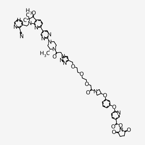 C[C@@H]1CN(c2ncc(-c3ccc4c(n3)N(Cc3cccnc3C#N)C(C)(C)C4=O)cn2)CCN1C(=O)Cn1cc(COCCOCCOCC(=O)N2CC(Oc3cccc(Oc4ccc(C(=O)ON5C(=O)CCC5=O)cn4)c3)C2)nn1